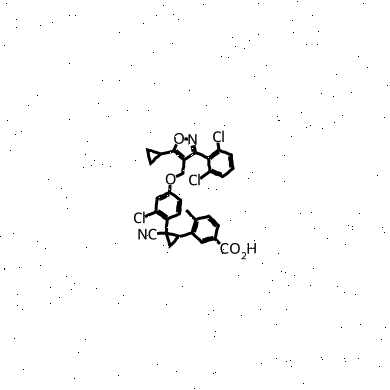 Cc1ccc(C(=O)O)cc1C1CC1(C#N)c1ccc(OCc2c(-c3c(Cl)cccc3Cl)noc2C2CC2)cc1Cl